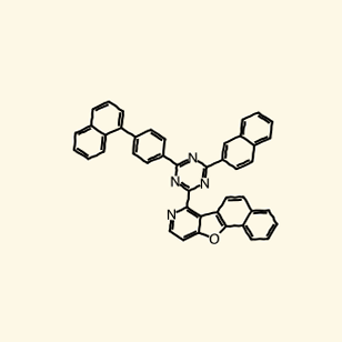 c1ccc2cc(-c3nc(-c4ccc(-c5cccc6ccccc56)cc4)nc(-c4nccc5oc6c7ccccc7ccc6c45)n3)ccc2c1